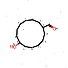 O=CC1CCCCCCC(O)CCCCC1